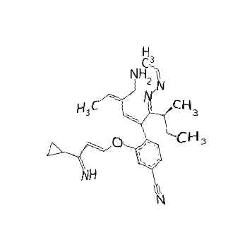 C\C=N/N=C(/C(=C\C(=C/C)CN)c1ccc(C#N)cc1O/C=C/C(=N)C1CC1)[C@@H](C)CC